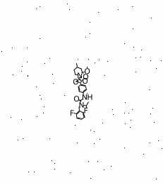 COC1(OC)CC(C)CCN1S(=O)(=O)c1ccc(NC(=O)N(Cc2c(F)cccc2F)C(C)C)cc1